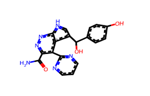 NC(=O)c1nnc2[nH]cc(C(O)c3ccc(O)cc3)c2c1-c1ncccn1